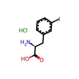 Cl.N[C@@H](Cc1cccc(I)c1)C(=O)O